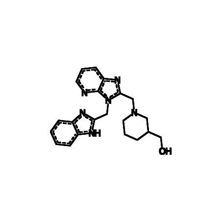 OCC1CCCN(Cc2nc3cccnc3n2Cc2nc3ccccc3[nH]2)C1